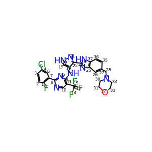 Fc1ccc(Cl)cc1-c1ncc(C(F)(F)F)c(Nc2c[nH]nc2-c2nc3cc(CN4CCOCC4)ccc3[nH]2)n1